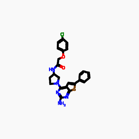 Nc1nc(N2CCC(NC(=O)COc3ccc(Cl)cc3)C2)c2cc(-c3ccccc3)sc2n1